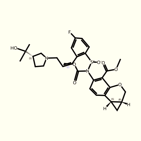 COC(=O)c1c(N(C(=O)OC)[S+]([O-])c2ccc(F)cc2/C=C\CN2CC[C@H](C(C)(C)O)C2)ccc2c1OC[C@@H]1C[C@H]21